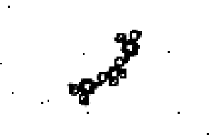 COc1ccc(COC(=O)CC(=O)OCc2ccc(OC)c(OC)c2)cc1OC